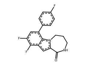 O=C1NCCCn2c1cc1c(F)c(F)cc(-c3ccc(F)cc3)c12